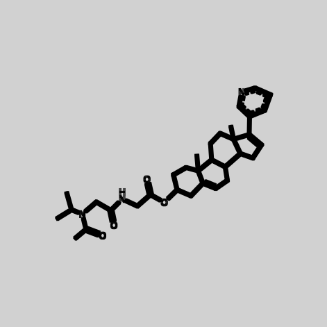 CC(=O)N(CC(=O)NCC(=O)OC1CCC2(C)C(=CCC3C2CCC2(C)C(c4cccnc4)=CCC32)C1)C(C)C